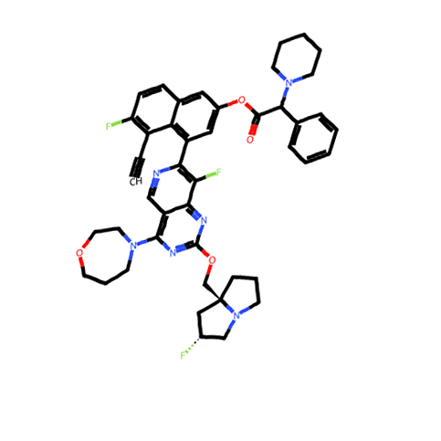 C#Cc1c(F)ccc2cc(OC(=O)C(c3ccccc3)N3CCCCC3)cc(-c3ncc4c(N5CCCOCC5)nc(OC[C@@]56CCCN5C[C@H](F)C6)nc4c3F)c12